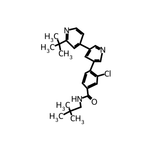 CC(C)(C)CNC(=O)c1ccc(-c2cncc(-c3ccnc(C(C)(C)C)c3)c2)c(Cl)c1